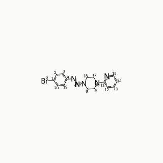 Brc1ccc(/N=N/N2CCN(c3ccccn3)CC2)cc1